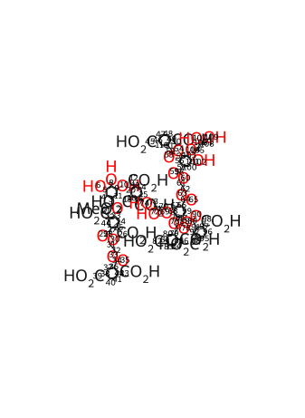 COC(=O)c1cc(O)c(O)c(O)c1.O=C(O)c1ccc(C(=O)O)c(C(=O)O)c1.O=C(O)c1ccc(C(=O)O)c(C(=O)OCCOC(=O)c2cc(C(=O)O)ccc2C(=O)O)c1.O=C(O)c1ccc(C(=O)O)c(C(=O)Oc2cc(C(=O)OCCOC(=O)c3cc(OCC(O)CO)c(OC(=O)c4cc(C(=O)O)ccc4C(=O)O)c(OC(=O)c4cc(C(=O)O)ccc4C(=O)O)c3)cc(O)c2OCC(O)CO)c1